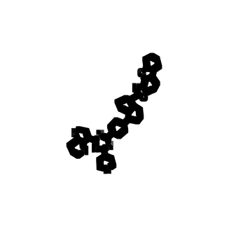 c1cnc2c(-c3nc(-c4ccncc4)nc(-c4ccc(-c5cccc6c(-c7nc8c(ccc9c%10ccccc%10oc98)o7)cccc56)cc4)n3)ccnc2c1